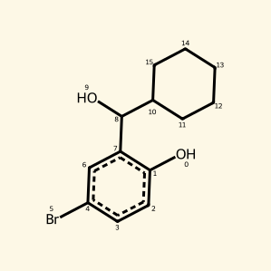 Oc1ccc(Br)cc1C(O)C1CCCCC1